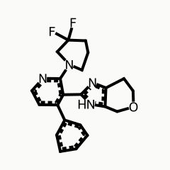 FC1(F)CCCN(c2nccc(-c3ccccc3)c2-c2nc3c([nH]2)COCC3)C1